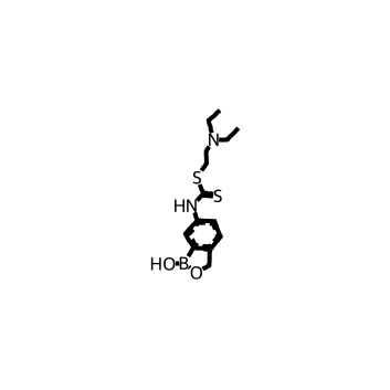 CCN(CC)CCSC(=S)Nc1ccc2c(c1)B(O)OC2